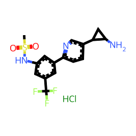 CS(=O)(=O)Nc1cc(-c2ccc(C3CC3N)cn2)cc(C(F)(F)F)c1.Cl